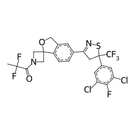 CC(F)(F)C(=O)N1CC2(C1)OCc1cc(C3=NSC(c4cc(Cl)c(F)c(Cl)c4)(C(F)(F)F)C3)ccc12